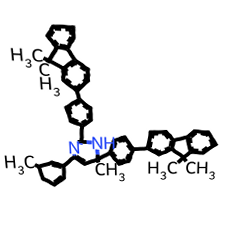 CC1C=C(C2=CC(C)(c3ccc(-c4ccc5c(c4)C(C)(C)c4ccccc4-5)cc3)NC(c3ccc(-c4ccc5c(c4)C(C)(C)c4ccccc4-5)cc3)=N2)C=CC1